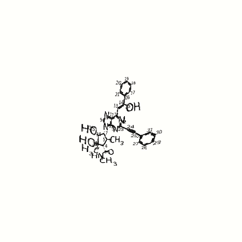 CNC(=O)[C@H]1[C@H](C)[C@@H](n2cnc3c(/C=C(\O)c4ccccc4)nc(C#Cc4ccccc4)nc32)[C@H](O)[C@@]1(C)O